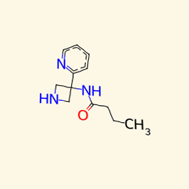 CCCC(=O)NC1(c2ccccn2)CNC1